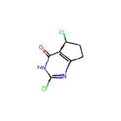 O=c1[nH]c(Cl)nc2c1C(Cl)CC2